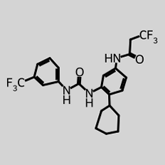 O=C(CC(F)(F)F)Nc1ccc(C2CCCCC2)c(NC(=O)Nc2cccc(C(F)(F)F)c2)c1